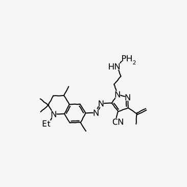 C=C(C)c1nn(CCNP)c(/N=N/c2cc3c(cc2C)N(CC)C(C)(C)CC3C)c1C#N